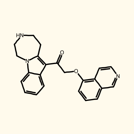 O=C(COc1cccc2cnccc12)c1c2n(c3ccccc13)CCNCC2